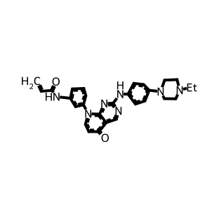 C=CC(=O)Nc1cccc(-n2ccc(=O)c3cnc(Nc4ccc(N5CCN(CC)CC5)cc4)nc32)c1